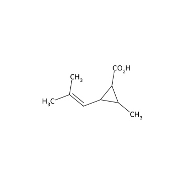 CC(C)=CC1C(C)C1C(=O)O